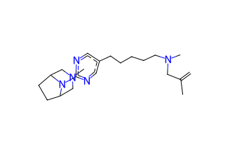 C=C(C)CN(C)CCCCCc1cnc(N2C3CCC2CN(C)C3)nc1